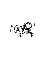 CC(C)(C)OC(=O)N1C2CCC1(C=CF)CNC2